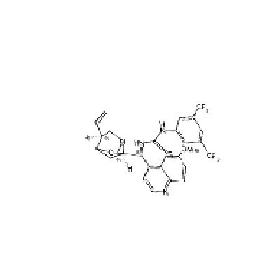 C=C[C@H]1CN2CCC1C[C@@H]2[C@@H](NC(=S)Nc1cc(C(F)(F)F)cc(C(F)(F)F)c1)c1ccnc2ccc(OC)cc12